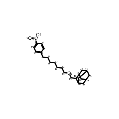 O=[N+]([O-])c1ccc(CCCCCCCOCC2C3CC4CC(C3)CC2C4)cc1